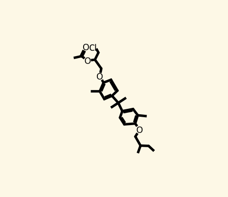 CCC(C)COc1ccc(C(C)(C)c2ccc(OCC(CCl)OC(C)=O)c(C)c2)cc1C